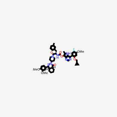 COc1cc(OCC2CC2)c(-c2ncnc3c(OC(=O)N[C@H](Cc4cccc(C)c4)C(=O)N4CCC(N5N=C(c6ccc(OC)c(OC)c6)[C@H]6CCCC[C@H]6C5=O)CC4)c(C)[nH]c23)cc1F